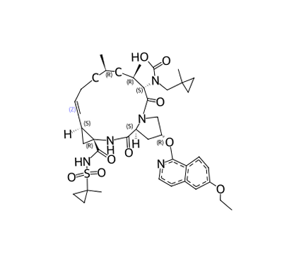 CCOc1ccc2c(O[C@@H]3C[C@H]4C(=O)N[C@]5(C(=O)NS(=O)(=O)C6(C)CC6)C[C@H]5/C=C\CC[C@@H](C)C[C@@H](C)[C@H](N(CC5(C)CC5)C(=O)O)C(=O)N4C3)nccc2c1